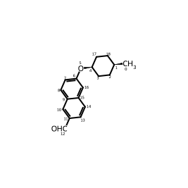 C[C@H]1CC[C@@H](Oc2ccc3cc(C=O)ccc3c2)CC1